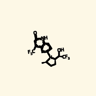 C[C@@H]1CC[C@H]([C@@H](O)C(F)(F)F)N1c1ccc2[nH]c(=O)cc(C(F)(F)F)c2c1